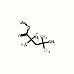 CC(C)(N)CC(C)(C)C(=O)OC(C)(C)C